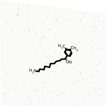 Cc1ccc([C@H](O)CCCCCCCCCCN)cc1C